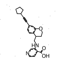 O=C(O)c1ccncc1NCC1CCOc2cc(C#CC3CCCC3)ccc21